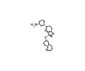 Nc1cccc(-c2ccc3nnc(Sc4ccc5ncccc5c4)n3n2)c1